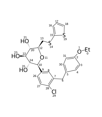 CCOc1ccc(Cc2cc([C@@H]3O[C@H](CSc4cccs4)[C@@H](O)[C@H](O)[C@H]3O)ccc2Cl)cc1